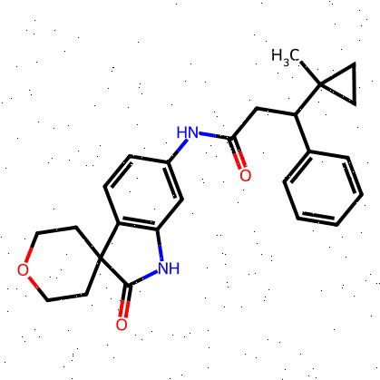 CC1(C(CC(=O)Nc2ccc3c(c2)NC(=O)C32CCOCC2)c2ccccc2)CC1